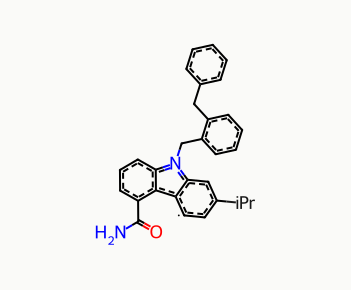 CC(C)c1c[c]c2c3c(C(N)=O)cccc3n(Cc3ccccc3Cc3ccccc3)c2c1